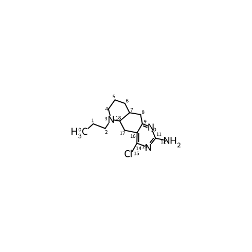 CCCN1CCCC2Cc3nc(N)nc(Cl)c3CC21